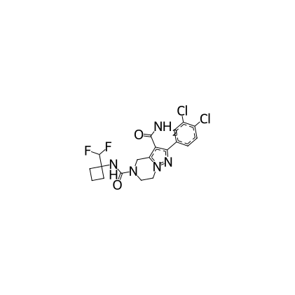 NC(=O)c1c(-c2ccc(Cl)c(Cl)c2)nn2c1CN(C(=O)NC1(C(F)F)CCC1)CC2